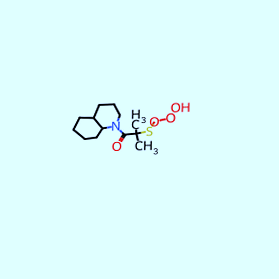 CC(C)(SOOO)C(=O)N1CCCC2CCCCC21